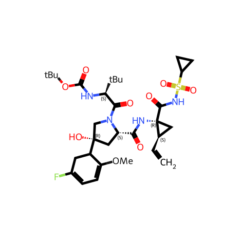 C=C[C@@H]1C[C@]1(NC(=O)[C@@H]1C[C@@](O)(C2CC(F)=CC=C2OC)CN1C(=O)[C@@H](NC(=O)OC(C)(C)C)C(C)(C)C)C(=O)NS(=O)(=O)C1CC1